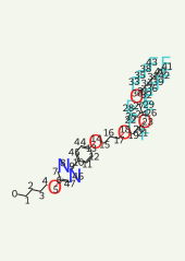 CCCCCOc1cnc(-c2ccc(OCCCOCC(F)(F)OC(F)(F)C(F)(F)OC(F)(F)C(F)(F)C(F)(F)C(F)(F)F)cc2)nc1